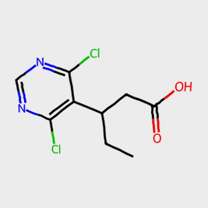 CCC(CC(=O)O)c1c(Cl)ncnc1Cl